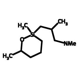 CNCC(C)C[Si]1(C)CCCC(C)O1